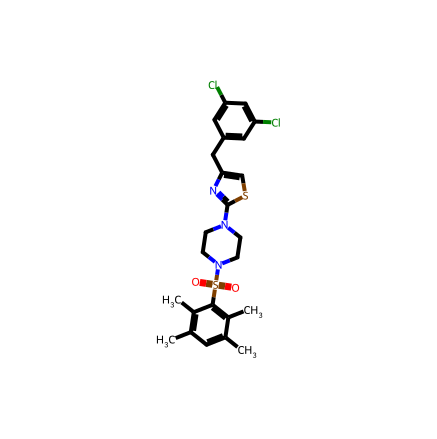 Cc1cc(C)c(C)c(S(=O)(=O)N2CCN(c3nc(Cc4cc(Cl)cc(Cl)c4)cs3)CC2)c1C